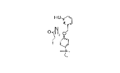 CCC(C)(C)c1ccc(OCc2cccc(O)c2)cc1.CCCC(N)=O